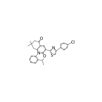 CC(C)c1ccccc1-n1c2c(cc(-c3nc(-c4ccc(Cl)cc4)cs3)c1=O)C(=O)CC(C)(C)C2